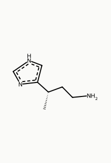 C[C@@H](CCN)c1c[nH]cn1